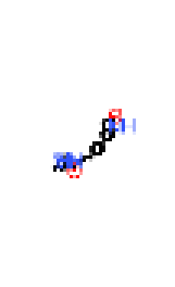 Cc1cc(C(=O)NCCCc2ccc(-c3ccc4c(c3)CCC(=O)N4)cc2)n(C)n1